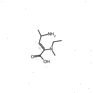 CCN(C)/C(=C\C(C)N)C(=O)O